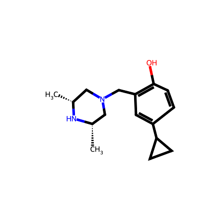 C[C@@H]1CN(Cc2cc(C3CC3)ccc2O)C[C@H](C)N1